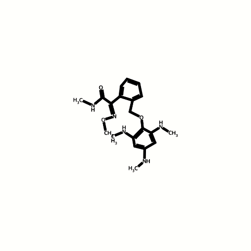 CNC(=O)C(=NOC)c1ccccc1COc1c(NC)cc(NC)cc1NC